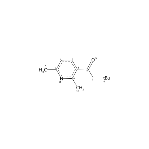 Cc1ccc(C(=O)CC(C)(C)C)c(C)n1